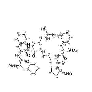 CN[C@H](CC1CCCCC1)C(=O)NC(Cc1ccccc1)C(=O)NC(CCCNC(=N)N)C(=O)NCCC[C@H](NC(=O)[C@H](Cc1ccccc1)NC(C)=O)C(=O)N1CCCC1C=O